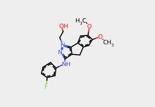 COc1cc2c(cc1OC)-c1c(c(Nc3cccc(F)c3)nn1CCO)C2